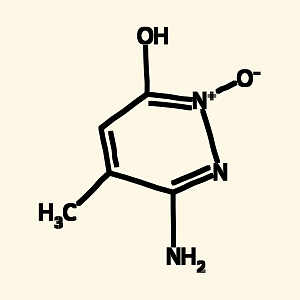 Cc1cc(O)[n+]([O-])nc1N